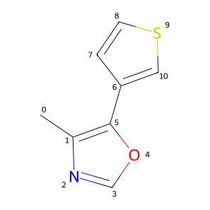 Cc1ncoc1-c1ccsc1